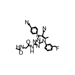 CC(=O)NCC(=O)Nc1nc2n(n1)[C@H](c1ccc(C#N)cc1)C(C#N)=C(C)N2c1cccc(CF)c1